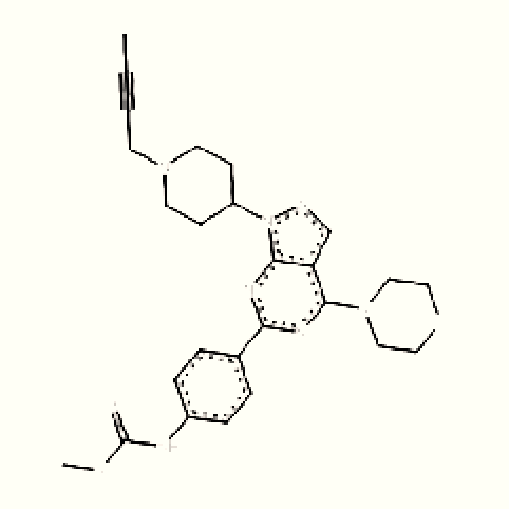 CC#CCN1CCC(n2ncc3c(N4CCOCC4)nc(-c4ccc(NC(=O)NC)cc4)nc32)CC1